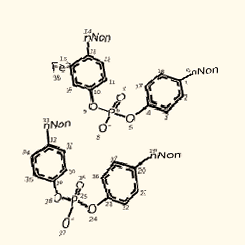 CCCCCCCCCc1ccc(OP(=O)([O-])Oc2ccc(CCCCCCCCC)cc2)cc1.CCCCCCCCCc1ccc(OP(=O)([O-])Oc2ccc(CCCCCCCCC)cc2)cc1.[Fe+2]